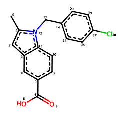 Cc1cc2cc(C(=O)O)ccc2n1Cc1ccc(Cl)cc1